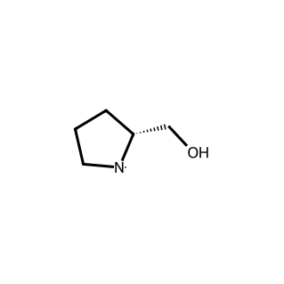 OC[C@H]1CCC[N]1